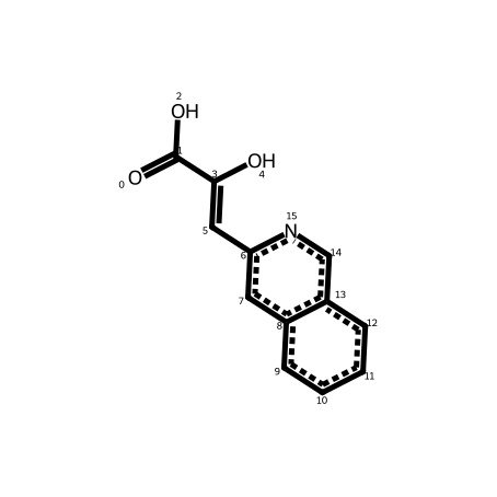 O=C(O)C(O)=Cc1cc2ccccc2cn1